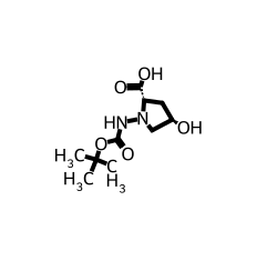 CC(C)(C)OC(=O)NN1C[C@H](O)C[C@H]1C(=O)O